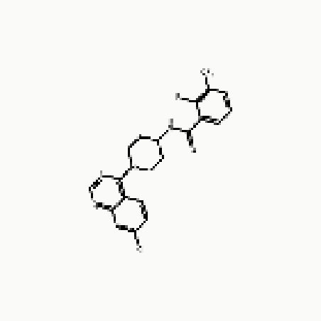 O=C(NC1CCN(c2ncnc3cc(Cl)ccc23)CC1)c1cccc(C(F)(F)F)c1F